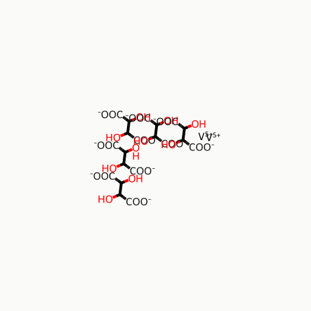 O=C([O-])C(O)C(O)C(=O)[O-].O=C([O-])C(O)C(O)C(=O)[O-].O=C([O-])C(O)C(O)C(=O)[O-].O=C([O-])C(O)C(O)C(=O)[O-].O=C([O-])C(O)C(O)C(=O)[O-].[V+5].[V+5]